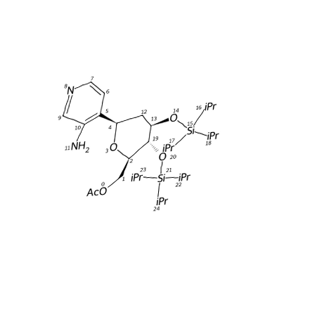 CC(=O)OC[C@H]1O[C@@H](c2ccncc2N)C[C@@H](O[Si](C(C)C)(C(C)C)C(C)C)[C@@H]1O[Si](C(C)C)(C(C)C)C(C)C